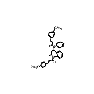 COc1ccc(C=CC(=O)N2c3ccccc3C(N(C(=O)C=Cc3ccc(OC)cc3)c3ccccc3)CC2C)cc1